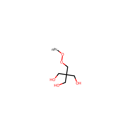 CCCOOCC(CO)(CO)CO